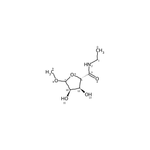 CCNC(=O)[C@H]1OC(OC)[C@H](O)[C@@H]1O